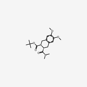 COc1cc2c(cc1OC)CN(C(=O)OC(C)(C)C)[C@H](C(=O)N(C)C)C2